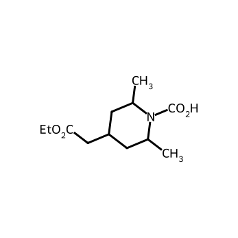 CCOC(=O)CC1CC(C)N(C(=O)O)C(C)C1